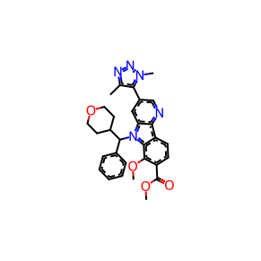 COC(=O)c1ccc2c3ncc(-c4c(C)nnn4C)cc3n(C(c3ccccc3)C3CCOCC3)c2c1OC